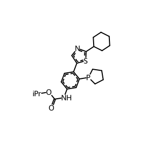 CC(C)OC(=O)Nc1ccc(-c2cnc(C3CCCCC3)s2)c(P2CCCC2)c1